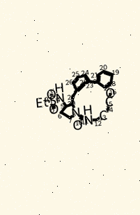 CCS(=O)(=O)NC1CCN2C(=O)NCCCCOc3ccccc3-c3cccc(c3)CC12